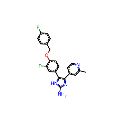 Cc1cc(-c2nc(N)[nH]c2-c2ccc(OCc3ccc(F)cc3)c(F)c2)ccn1